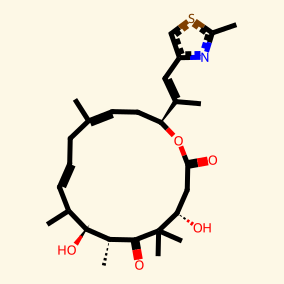 C/C1=C/C[C@@H](/C(C)=C/c2csc(C)n2)OC(=O)C[C@H](O)C(C)(C)C(=O)[C@H](C)[C@@H](O)C(C)/C=C/C1